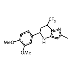 COc1ccc(C2CC(C(F)(F)F)n3nc(C)cc3N2)cc1OC